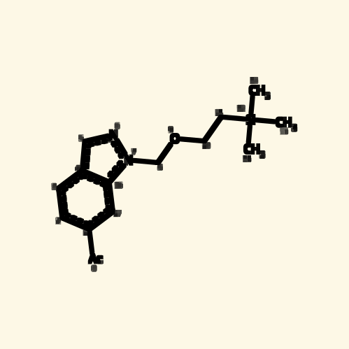 CC(=O)c1ccc2cnn(COCC[Si](C)(C)C)c2c1